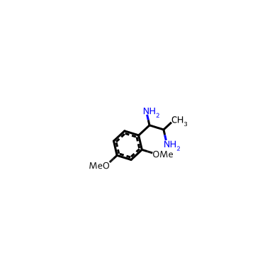 COc1ccc(C(N)C(C)N)c(OC)c1